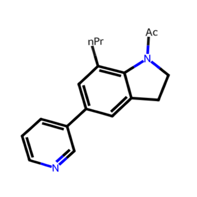 CCCc1cc(-c2cccnc2)cc2c1N(C(C)=O)CC2